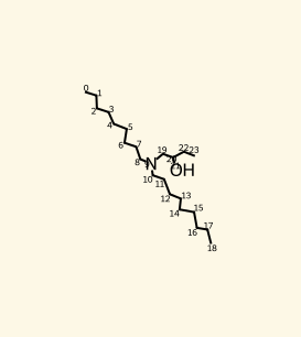 CCCCCCCCCN(CCCCCCCCC)CC(O)CC